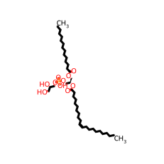 CCCCCCCCCC/C=C\CCCCCCCCCC(=O)O[C@H](COC(=O)CCCCCCCCCCCCCC)COP(=O)(O)OC[C@@H](O)CO